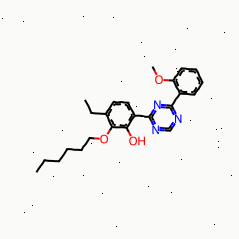 CCCCCCOc1c(CC)ccc(-c2ncnc(-c3ccccc3OC)n2)c1O